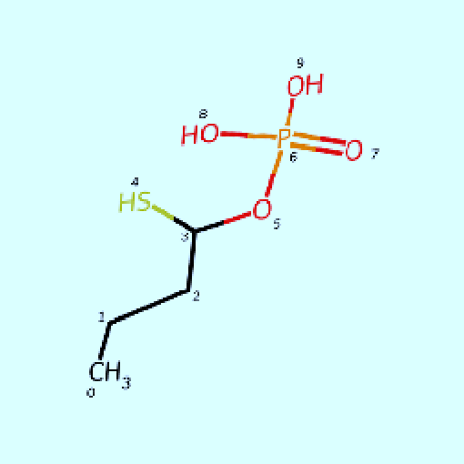 CCCC(S)OP(=O)(O)O